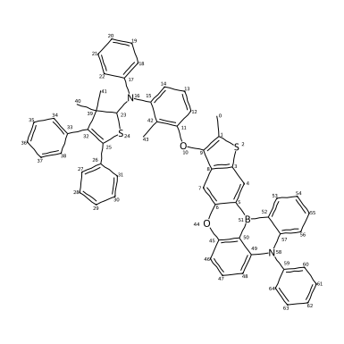 Cc1sc2cc3c(cc2c1Oc1cccc(N(c2ccccc2)C2SC(c4ccccc4)=C(c4ccccc4)C2(C)C)c1C)Oc1cccc2c1B3c1ccccc1N2c1ccccc1